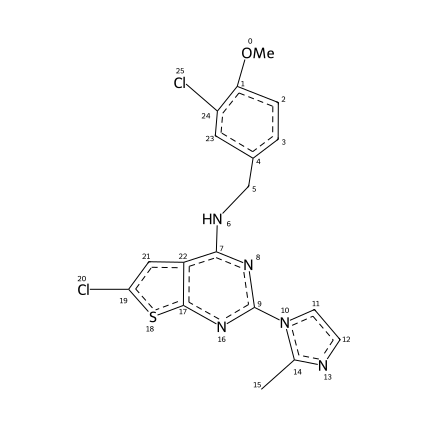 COc1ccc(CNc2nc(-n3ccnc3C)nc3sc(Cl)cc23)cc1Cl